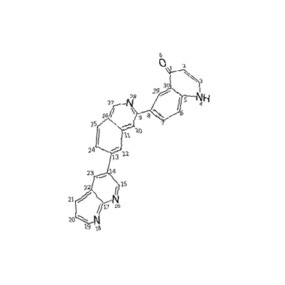 O=c1cc[nH]c2ccc(-c3cc4cc(-c5cnc6ncccc6c5)ccc4cn3)cc12